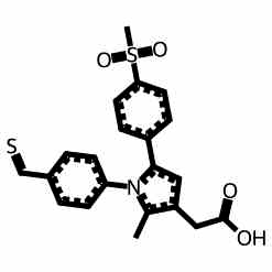 Cc1c(CC(=O)O)cc(-c2ccc(S(C)(=O)=O)cc2)n1-c1ccc(C=S)cc1